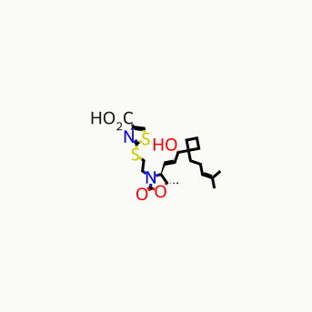 CC(C)=CCCC1(C(O)C=C[C@H]2[C@H](C)OC(=O)N2CCSc2nc(C(=O)O)cs2)CCC1